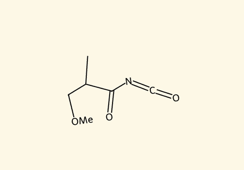 COCC(C)C(=O)N=C=O